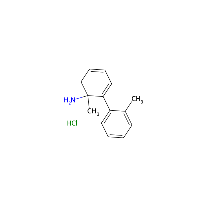 Cc1ccccc1C1=CC=CCC1(C)N.Cl